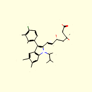 Cc1cc2c(-c3ccc(F)c(C)c3C)c(/C=C/[C@@H](O)C[C@@](C)(O)CC(=O)O)n(C(C)C(C)C)c2cc1C